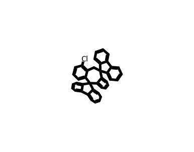 Clc1cccc2c1CC1(c3ccccc3-c3ccccc31)c1ccccc1C21C2=CCC=CC=C2c2ccccc21